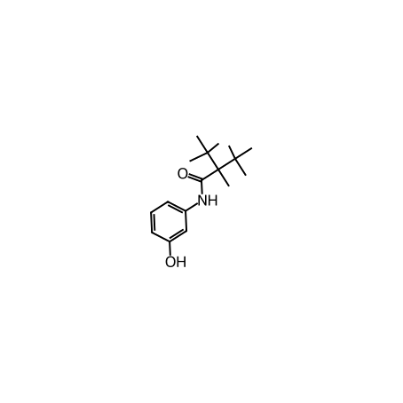 CC(C)(C)C(C)(C(=O)Nc1cccc(O)c1)C(C)(C)C